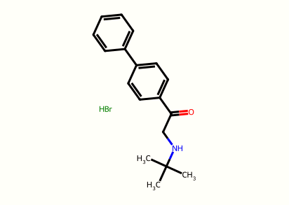 Br.CC(C)(C)NCC(=O)c1ccc(-c2ccccc2)cc1